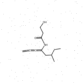 C=C=C=C(CC(C)CC)NC(=O)CCO